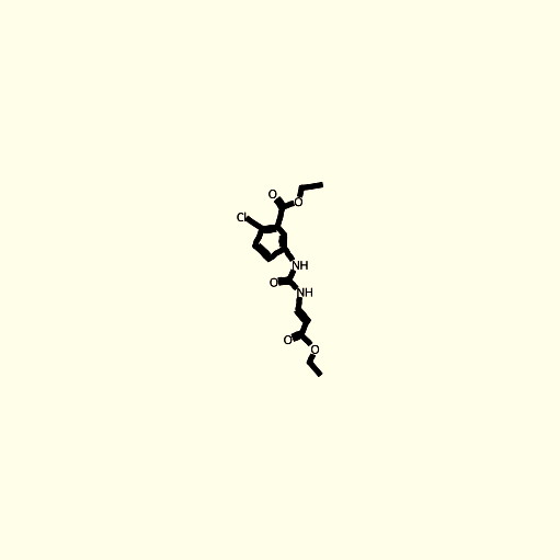 CCOC(=O)/C=C/NC(=O)Nc1ccc(Cl)c(C(=O)OCC)c1